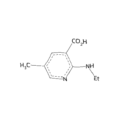 CCNc1ncc(C)cc1C(=O)O